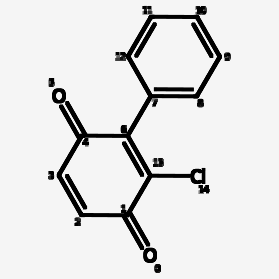 O=C1C=CC(=O)C(c2ccccc2)=C1Cl